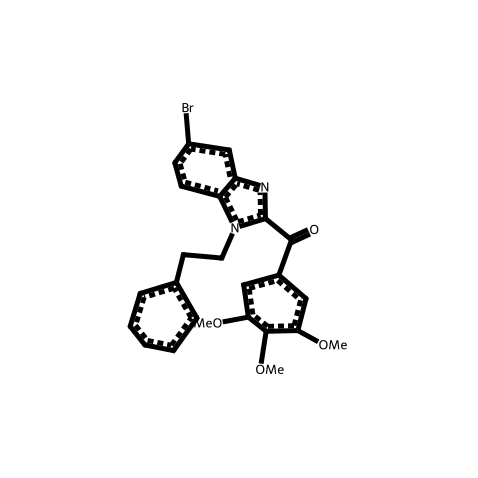 COc1cc(C(=O)c2nc3cc(Br)ccc3n2CCc2ccccc2)cc(OC)c1OC